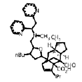 CCCCC1CC(C23C[C@@H]4[C@H](C)CC[C@H]4C4(C=O)CC2C=C(C(C)C)C34C(=O)O)OC1CN(C)C(Cc1ccccn1)c1ccccn1